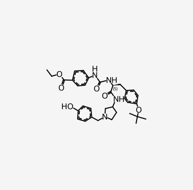 CCOC(=O)c1ccc(NC(=O)N[C@@H](Cc2ccc(OC(C)(C)C)cc2)C(=O)NC2CCN(Cc3ccc(O)cc3)C2)cc1